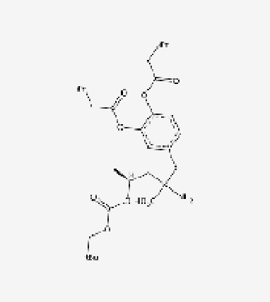 CC(C)CC(=O)Oc1ccc(CC(N)(C[C@H](C)OC(=O)OCC(C)(C)C)C(=O)O)cc1OC(=O)CC(C)C